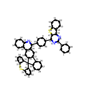 c1ccc(-c2nc(-c3ccc(-c4nc5ccccc5c5cc6c(cc45)-c4ccccc4C64c5ccccc5Sc5ccccc54)cc3)c3sc4ccccc4c3n2)cc1